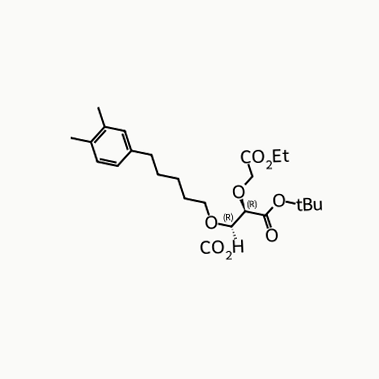 CCOC(=O)CO[C@@H](C(=O)OC(C)(C)C)[C@@H](OCCCCCc1ccc(C)c(C)c1)C(=O)O